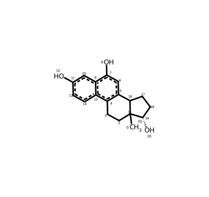 CC12CCc3c(cc(O)c4cc(O)ccc34)C1CC[C@@H]2O